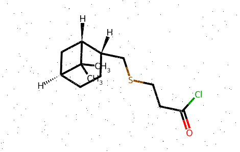 CC1(C)[C@H]2CC[C@@H](CSCCC(=O)Cl)[C@H]1C2